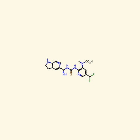 CN1CCc2cc(C(=N)NC(=S)Nc3ncc(C(F)F)cc3N(C)C(=O)O)ncc21